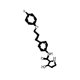 O=C(Nc1ccc(CCCOc2ccc(F)cc2)cc1)C1NCCC1O